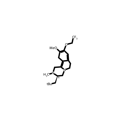 COC1=C(OCC(F)(F)F)C=C2CCN3C[C@@H](CC(C)(C)C)N(C)CC3=C2C1